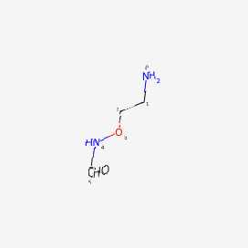 NCCONC=O